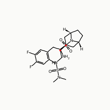 CN(C)S(=O)(=O)NCCS(=O)(=O)N1[C@@H]2CC[C@H]1C[C@H](C(N)Cc1cc(F)c(F)cc1F)C2